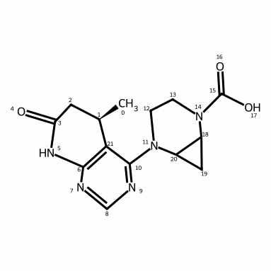 C[C@@H]1CC(=O)Nc2ncnc(N3CCN(C(=O)O)C4CC43)c21